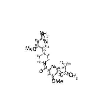 COc1cc(C(=O)N2CCC(c3cnc(N)cc3OC)CC2)ncc1O[C@H](C)C1CC1